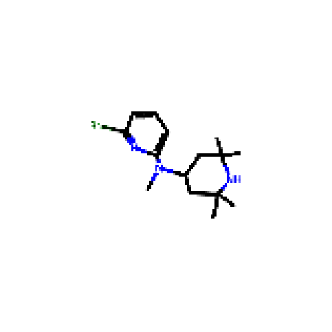 CN(c1cccc(Br)n1)C1CC(C)(C)NC(C)(C)C1